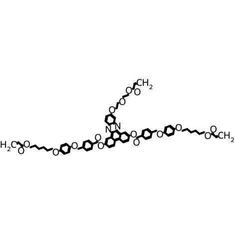 C=CC(=O)OCCCCCCOc1ccc(OCc2ccc(C(=O)Oc3ccc4c5ccc(OC(=O)c6ccc(COc7ccc(OCCCCCCOC(=O)C=C)cc7)cc6)cc5c5nc6cc(OCCOCCOC(=O)C=C)ccc6nc5c4c3)cc2)cc1